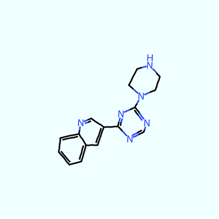 c1ccc2ncc(-c3ncnc(N4CCNCC4)n3)cc2c1